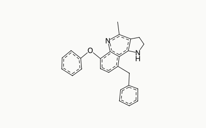 Cc1nc2c(Oc3ccccc3)ccc(Cc3ccccc3)c2c2c1CCN2